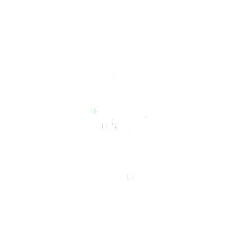 CCOC[C@H](N)Cc1ccccc1.Cl